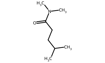 C[C](C)CCC(=O)N(C)C